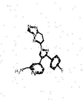 Nc1cc(-c2cn(C3=Nn4cnnc4CC3)nc2-c2ccc(F)cc2)ccn1